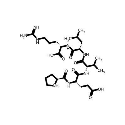 CC(C)C[C@H](NC(=O)[C@@H](NC(=O)[C@H](CCC(=O)O)NC(=O)[C@@H]1CCCN1)C(C)C)C(=O)N[C@@H](CCCNC(=N)N)C(=O)O